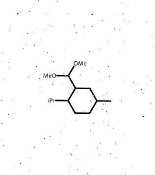 COC(OC)C1CC(C)CCC1C(C)C